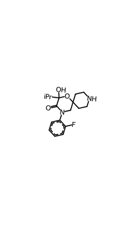 CC(C)C1(O)OC2(CCNCC2)CN(c2ccccc2F)C1=O